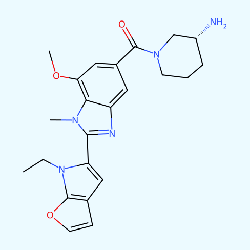 CCn1c(-c2nc3cc(C(=O)N4CCC[C@@H](N)C4)cc(OC)c3n2C)cc2ccoc21